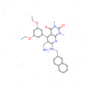 CCOc1cc(OCC)cc(-c2c(CN)c(NCc3ccc4ccccc4c3)nc3c2c(=O)n(C)c(=O)n3C)c1